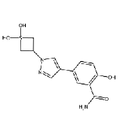 NC(=O)c1cc(-c2cnn(C3CS(O)(O)C3)c2)ccc1O